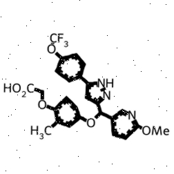 COc1ccc(C(Oc2ccc(OCC(=O)O)c(C)c2)c2cc(-c3ccc(OC(F)(F)F)cc3)[nH]n2)cn1